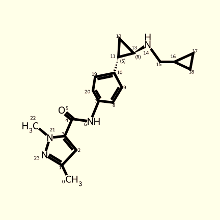 Cc1cc(C(=O)Nc2ccc([C@@H]3C[C@H]3NCC3CC3)cc2)n(C)n1